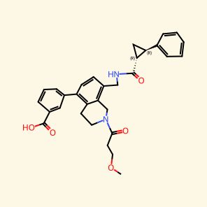 COCCC(=O)N1CCc2c(-c3cccc(C(=O)O)c3)ccc(CNC(=O)[C@@H]3C[C@H]3c3ccccc3)c2C1